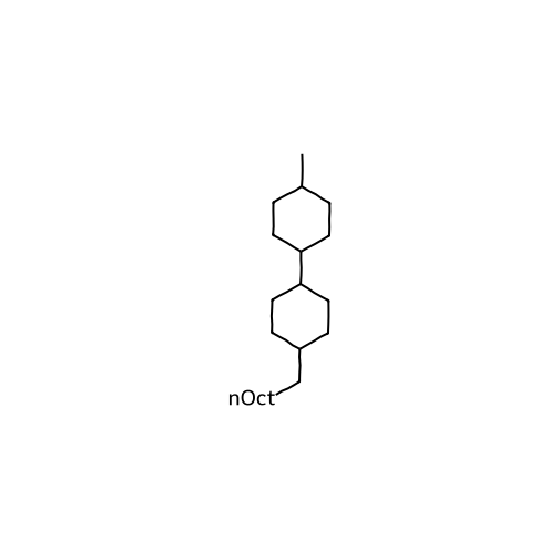 CCCCCCCCCC1CCC(C2CCC(C)CC2)CC1